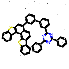 c1ccc(-c2nc(-c3ccccc3)nc(-c3cccc(-c4cccc(-c5cc6sc7ccccc7c6c6c5ccc5c7ccccc7sc56)c4)c3)n2)cc1